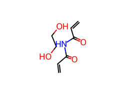 C=CC(=O)NC(=O)C=C.OCCO